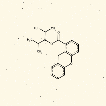 CC(C)N(OC(=O)c1cccc2c1Cc1ccccc1O2)C(C)C